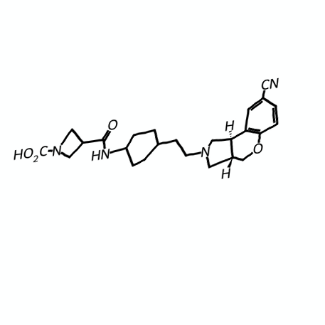 N#Cc1ccc2c(c1)[C@@H]1CN(CCC3CCC(NC(=O)C4CN(C(=O)O)C4)CC3)C[C@H]1CO2